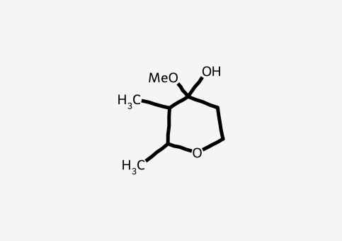 COC1(O)CCOC(C)C1C